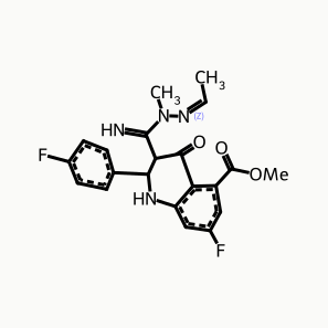 C/C=N\N(C)C(=N)C1C(=O)c2c(cc(F)cc2C(=O)OC)NC1c1ccc(F)cc1